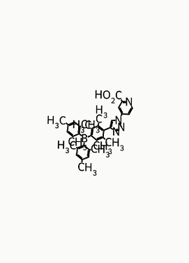 Cc1cc(C)c(B(c2c(C)cc(C)cc2C)c2c(C)c(C)c(-c3cn(-c4ccnc(C(=O)O)c4)nn3)c(C)c2C)c(C)c1